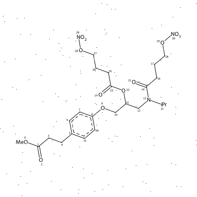 COC(=O)CCc1ccc(OCC(CN(C(=O)CCCO[N+](=O)[O-])C(C)C)OC(=O)CCCO[N+](=O)[O-])cc1